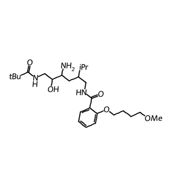 COCCCCOc1ccccc1C(=O)NCC(CC(N)C(O)CNC(=O)C(C)(C)C)C(C)C